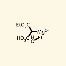 CCO.CCOC(=O)[CH]([Mg+2])C(=O)O